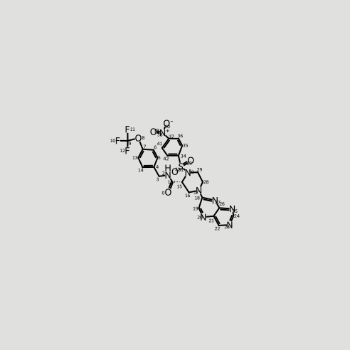 O=C(NCc1ccc(OC(F)(F)F)cc1)[C@H]1CN(c2cnc3cncnc3n2)CCN1S(=O)(=O)c1ccc([N+](=O)[O-])cc1